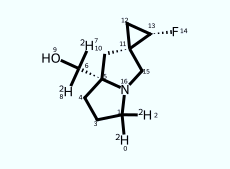 [2H]C1([2H])CC[C@@]2(C([2H])([2H])O)C[C@@]3(C[C@@H]3F)CN12